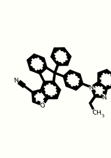 CCc1nc2ccccc2n1-c1ccc(C2(c3ccccc3)c3ccccc3-c3c2ccc2occ(C#N)c32)cc1